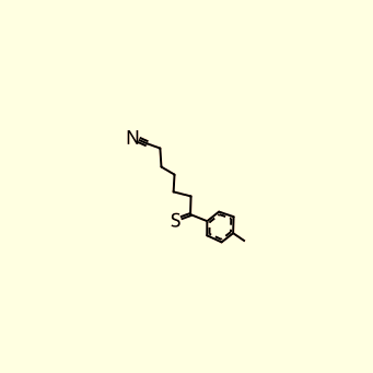 Cc1ccc(C(=S)CCCCCC#N)cc1